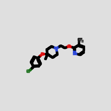 CC1(Oc2ccc(Cl)cc2)CCN(CCOc2ncccc2C(F)(F)F)CC1